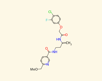 C=C(CCNC(=O)c1ccc(COC)nc1)NC(=O)COc1ccc(Cl)c(F)c1